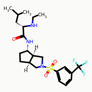 CCN[C@@H](CC(C)C)C(=O)N[C@H]1CC[C@@H]2CN(S(=O)(=O)c3cccc(C(F)(F)F)c3)C[C@@H]21